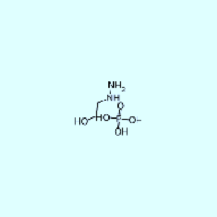 NNCCO.O=P(O)(O)O